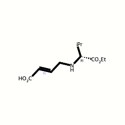 CCOC(=O)[C@H](NC/C=C/C(=O)O)C(C)C